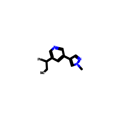 CC(C)C(CC#N)c1cncc(-c2cnn(C)c2)c1